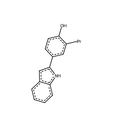 CC(C)c1cc(-c2cc3ccccc3[nH]2)ccc1O